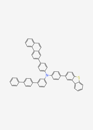 c1ccc(-c2ccc(-c3cccc(N(c4ccc(-c5ccc6c(ccc7ccccc76)c5)cc4)c4ccc(-c5ccc6sc7ccccc7c6c5)cc4)c3)cc2)cc1